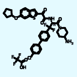 NC1CCN(C(=O)[C@@H](NC(=O)C(=O)c2cc3ccc(OC4CCCC4)cc3s2)C(F)(F)c2ccc(-c3ccc(Cl)cc3)cc2)CC1.O=C(O)C(F)(F)F